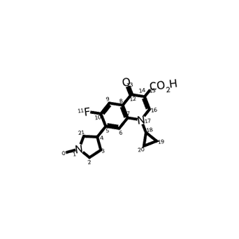 CN1CCC(c2cc3c(cc2F)c(=O)c(C(=O)O)cn3C2CC2)C1